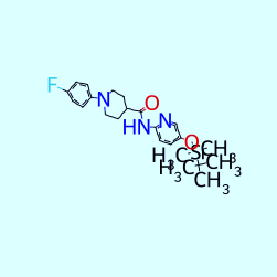 CC(C)(C)[Si](C)(C)Oc1ccc(NC(=O)C2CCN(c3ccc(F)cc3)CC2)nc1